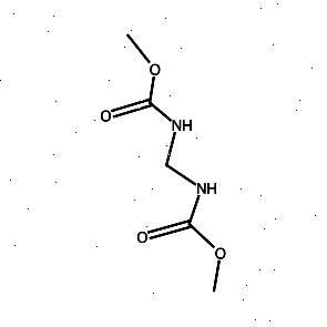 COC(=O)NCNC(=O)OC